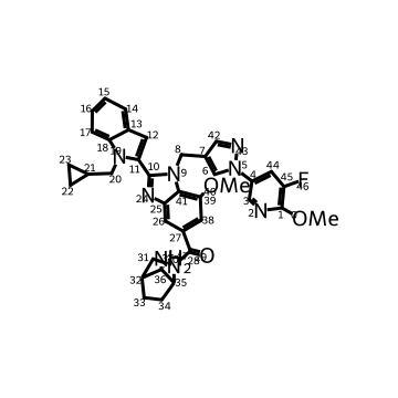 COc1ncc(-n2cc(Cn3c(-c4cc5ccccc5n4CC4CC4)nc4cc(C(=O)N5CC6CCC5[C@@H]6N)cc(OC)c43)cn2)cc1F